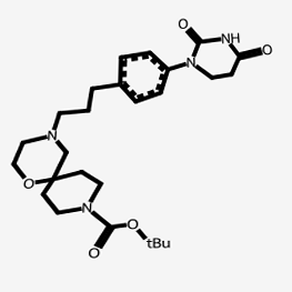 CC(C)(C)OC(=O)N1CCC2(CC1)CN(CCCc1ccc(N3CCC(=O)NC3=O)cc1)CCO2